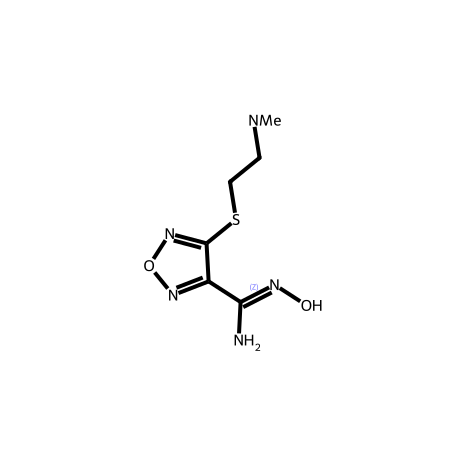 CNCCSc1nonc1/C(N)=N/O